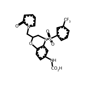 O=C(O)Nc1ccc2c(c1)N(S(=O)(=O)c1cccc(C(F)(F)F)c1)CC(Cn1ccccc1=O)O2